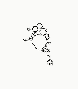 CO[C@H]1/C=C/CCC[S@@](=O)(NC(=O)CCc2cnoc2)=NC(=O)c2ccc3c(c2)N(C[C@@H]2CC[C@H]21)C[C@@]1(CCCc2cc(Cl)ccc21)CO3